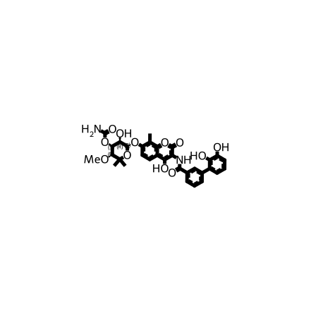 CO[C@@H]1[C@@H](OC(N)=O)[C@@H](O)[C@H](Oc2ccc3c(O)c(NC(=O)c4cccc(-c5cccc(O)c5O)c4)c(=O)oc3c2C)OC1(C)C